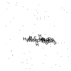 CC(=O)Nc1ccc(-c2[nH]c3ccc(NC(=O)[C@@H]4CCCN4C(=O)[C@@H](NC(=O)OC(C)(C)C)c4ccccc4)cc3c2C)cc1